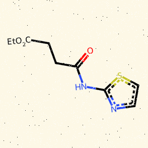 CCOC(=O)CCC(=O)Nc1nccs1